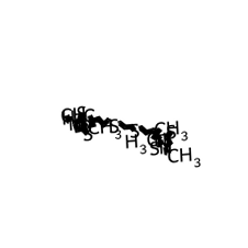 CCN1CC(=S)N(C(C)(C)CCCSCCCSCCCC(C)(C)N2C(=S)CN(CC)C2=S)C1=S